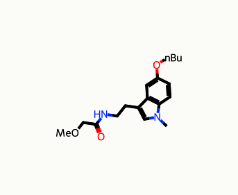 CCCCOc1ccc2c(c1)c(CCNC(=O)COC)cn2C